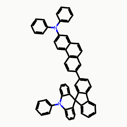 c1ccc(N(c2ccccc2)c2ccc3c(ccc4cc(-c5ccc6c(c5)C5(c7ccccc7-6)c6ccccc6N(c6ccccc6)c6ccccc65)ccc43)c2)cc1